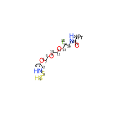 CC(CNSS)OCCOCCOCC(F)CNC(=O)C(C)C